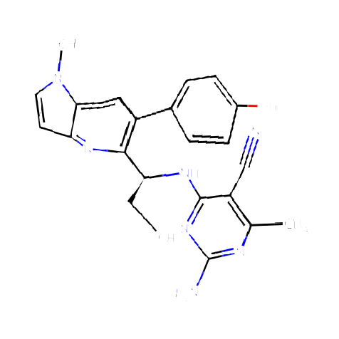 CC[C@H](Nc1nc(N)nc(C)c1C#N)c1nc2ccn(C)c2cc1-c1ccc(O)cc1